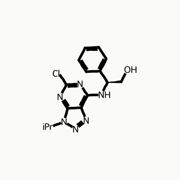 CC(C)n1nnc2c(N[C@H](CO)c3ccccc3)nc(Cl)nc21